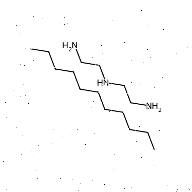 CCCCCCCCCCC.NCCNCCN